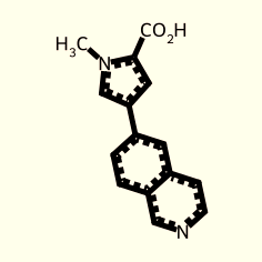 Cn1cc(-c2ccc3cnccc3c2)cc1C(=O)O